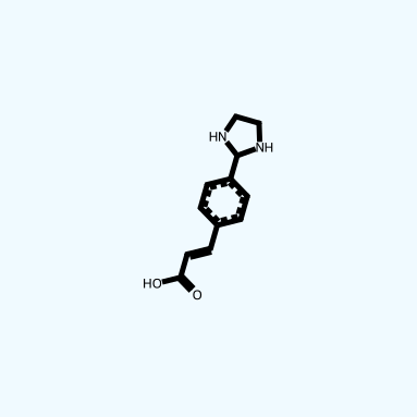 O=C(O)C=Cc1ccc(C2NCCN2)cc1